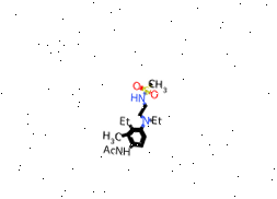 CCc1c(N(CC)CCNS(C)(=O)=O)ccc(NC(C)=O)c1C